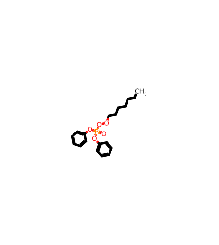 CCCCCCCOOP(=O)(Oc1ccccc1)Oc1ccccc1